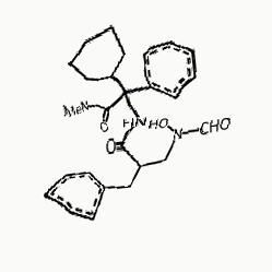 CNC(=O)C(NC(=O)C(Cc1ccccc1)CN(O)C=O)(c1ccccc1)C1CCCCC1